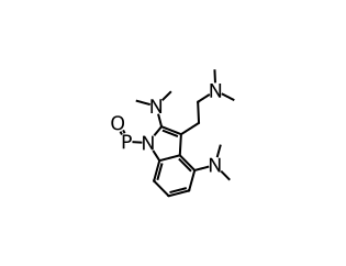 CN(C)CCc1c(N(C)C)n(P=O)c2cccc(N(C)C)c12